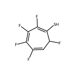 FC1=CC(F)C(S)=C(F)C(F)=C1F